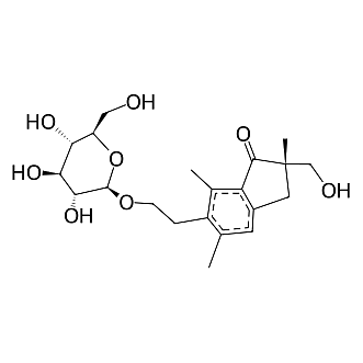 Cc1cc2c(c(C)c1CCO[C@@H]1O[C@H](CO)[C@@H](O)[C@H](O)[C@H]1O)C(=O)[C@](C)(CO)C2